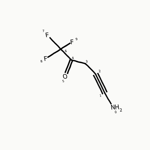 NC#CCC(=O)C(F)(F)F